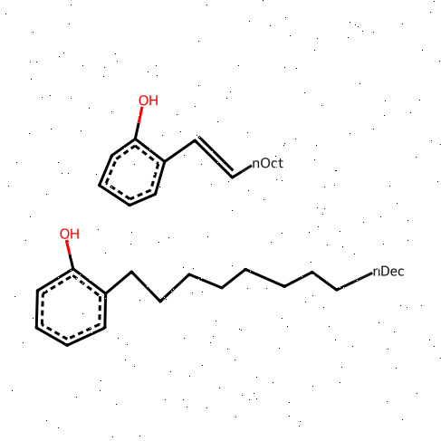 CCCCCCCCC=Cc1ccccc1O.CCCCCCCCCCCCCCCCCCc1ccccc1O